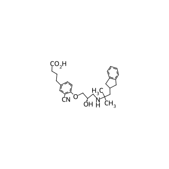 CC(C)(CC1Cc2ccccc2C1)NC[C@@H](O)COc1ccc(CCCC(=O)O)cc1C#N